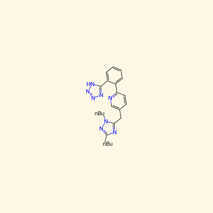 CCCCc1nc(Cc2ccc(-c3ccccc3-c3nnn[nH]3)nc2)n(CCCC)n1